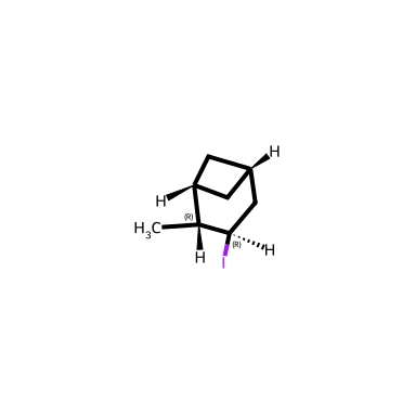 C[C@@H]1[C@H]2C[C@@H](C[C@H]1I)C2